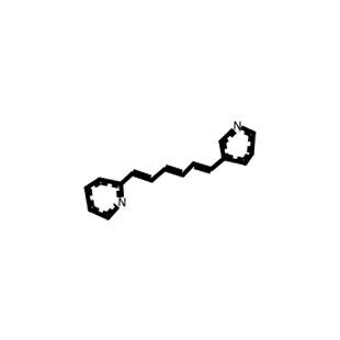 C(=C\C=C\c1ccccn1)/C=C/c1cccnc1